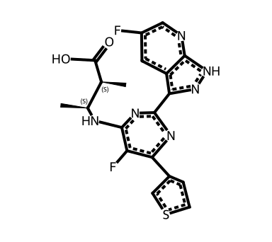 C[C@H](Nc1nc(-c2n[nH]c3ncc(F)cc23)nc(-c2ccsc2)c1F)[C@H](C)C(=O)O